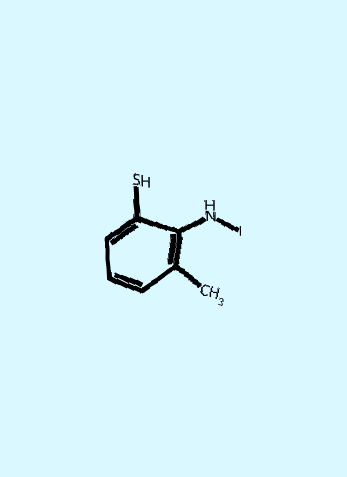 Cc1cccc(S)c1NI